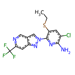 CCSc1cc(Cl)c(N)nc1-n1cc2cnc(C(F)(F)F)cc2n1